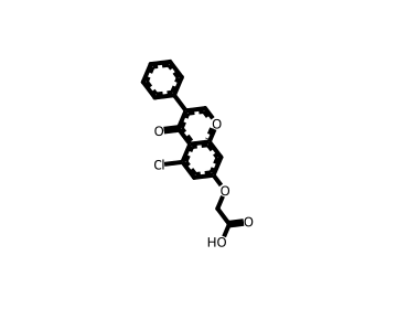 O=C(O)COc1cc(Cl)c2c(=O)c(-c3ccccc3)coc2c1